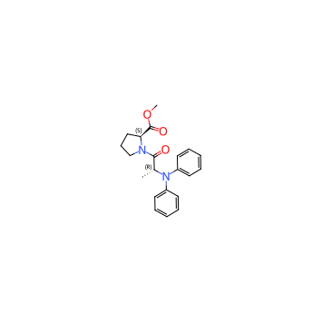 COC(=O)[C@@H]1CCCN1C(=O)[C@@H](C)N(c1ccccc1)c1ccccc1